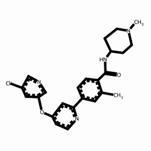 Cc1cc(-c2cc(Oc3cncc(Cl)c3)ccn2)ccc1C(=O)NC1CCN(C)CC1